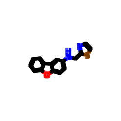 c1ccc2c(c1)oc1ccc(NCc3nccs3)cc12